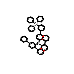 c1ccc(-c2ccc(-c3ccccc3)c(N(c3ccc(-c4cccc([Si](c5ccccc5)(c5ccccc5)c5ccccc5)c4)cc3)c3ccccc3-c3ccccc3)c2)cc1